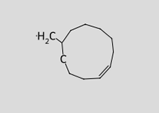 [CH2]C1CCC/C=C\CCCCC1